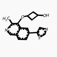 Cc1ncc2ccc(-c3cncs3)cc2c1OC1CC(O)C1